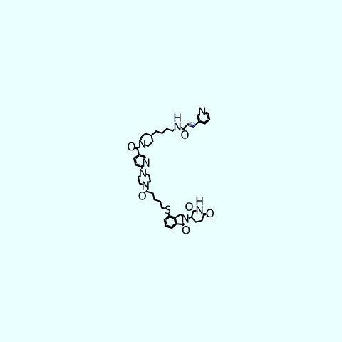 O=C(/C=C/c1cccnc1)NCCCCC1CCN(C(=O)c2ccc(N3CCN(C(=O)CCCCSc4cccc5c4CN(C4CCC(=O)NC4=O)C5=O)CC3)nc2)CC1